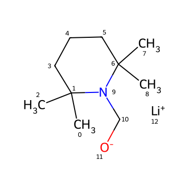 CC1(C)CCCC(C)(C)N1C[O-].[Li+]